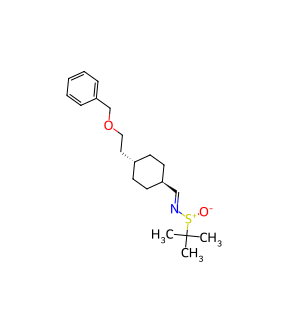 CC(C)(C)[S@@+]([O-])/N=C/[C@H]1CC[C@H](CCOCc2ccccc2)CC1